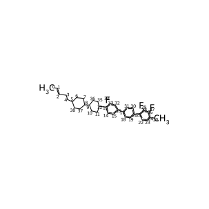 C/C=C/CCC1CCC(C2CCC(c3ccc(-c4ccc(-c5ccc(C)c(F)c5F)cc4)cc3F)CC2)CC1